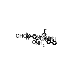 NC(=O)c1cn(CC(=O)N2C[C@H](F)C[C@H]2C(=O)Nc2cccc(-c3ccccc3Cl)c2F)c2ccc(-c3cnc(C=O)nc3)cc12